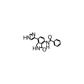 O=C(Nc1ccc(-c2c[nH]cn2)c2c1C(=O)NC2)c1ccccc1